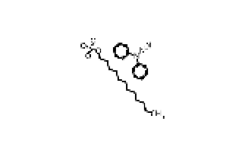 CCCCCCCCCCCCOS(=O)(=O)[O-].N#[N+]N(c1ccccc1)c1ccccc1